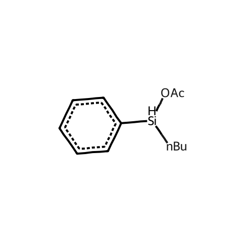 CCCC[SiH](OC(C)=O)c1ccccc1